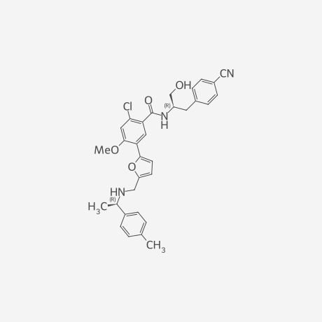 COc1cc(Cl)c(C(=O)N[C@@H](CO)Cc2ccc(C#N)cc2)cc1-c1ccc(CN[C@H](C)c2ccc(C)cc2)o1